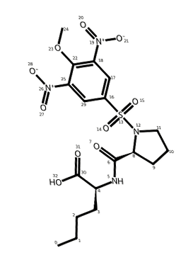 CCCC[C@H](NC(=O)[C@@H]1CCCN1S(=O)(=O)c1cc([N+](=O)[O-])c(OC)c([N+](=O)[O-])c1)C(=O)O